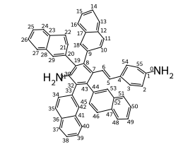 Nc1ccc(C=Cc2c(-c3ccc4ccccc4c3)c(-c3ccc4ccccc4c3)c(N)c(-c3ccc4ccccc4c3)c2-c2ccc3ccccc3c2)cc1